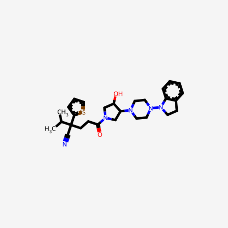 CC(C)C(C#N)(CCC(=O)N1CC(O)C(N2CCN(N3CCc4ccccc43)CC2)C1)c1cccs1